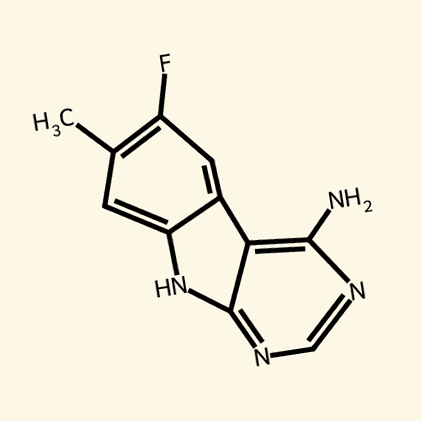 Cc1cc2[nH]c3ncnc(N)c3c2cc1F